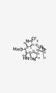 COC(c1ccc(C(F)(F)F)nc1)c1c[nH]c2ncc(-c3c(C)noc3C)cc12